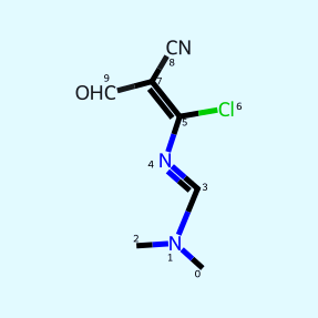 CN(C)C=NC(Cl)=C(C#N)C=O